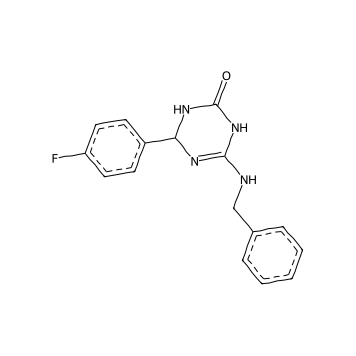 O=C1NC(NCc2ccccc2)=NC(c2ccc(F)cc2)N1